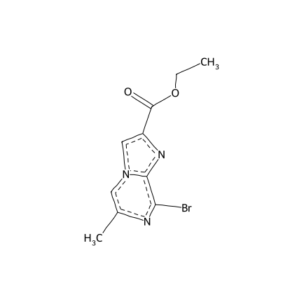 CCOC(=O)c1cn2cc(C)nc(Br)c2n1